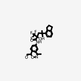 CC1=NOC(C=O)c2ccc(NC(=O)C(O)(CC(C)(C)c3cccc4c3CCC4)C(F)(F)F)cc21